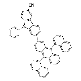 N#Cc1ccc2c(c1)c1ccc(-c3ccc4c(-c5cccc6ccccc56)c5ccccc5c(-c5cccc6ccccc56)c4c3)cc1n2-c1ccccc1